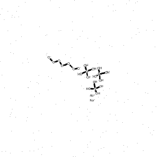 O[Si](O)(O)O.O[Si](O)(O)O.O[Si](O)(O)O.[Na+].[Na+].[O-]OOOOO[O-]